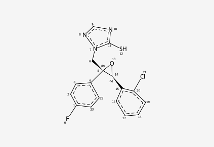 Fc1ccc([C@]2(Cn3ncnc3S)O[C@H]2c2ccccc2Cl)cc1